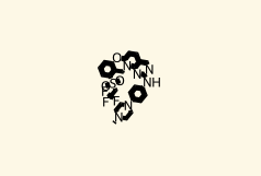 CN1CCN(c2ccc(Nc3ncc4ccc(=O)n(Cc5ccccc5S(=O)(=O)CC(F)(F)F)c4n3)cc2)CC1